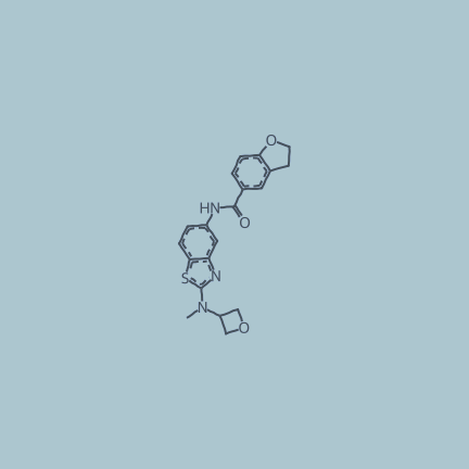 CN(c1nc2cc(NC(=O)c3ccc4c(c3)CCO4)ccc2s1)C1COC1